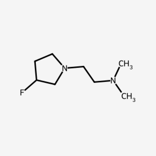 CN(C)CCN1CCC(F)C1